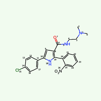 CN(C)CCNC(=O)c1cc(-c2ccc(Cl)cc2)[nH]c1-c1ccccc1[N+](=O)[O-]